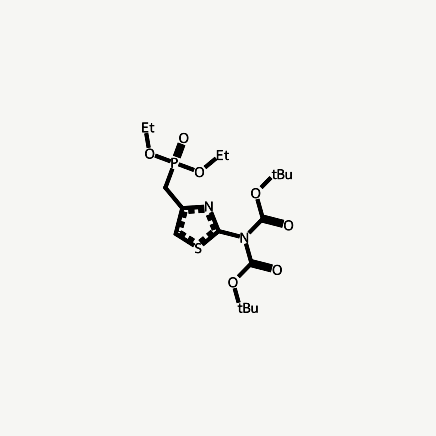 CCOP(=O)(Cc1csc(N(C(=O)OC(C)(C)C)C(=O)OC(C)(C)C)n1)OCC